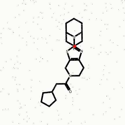 O=C(CC1CCCC1)N1CCc2nc(N3C4CCCC3CNC4)sc2C1